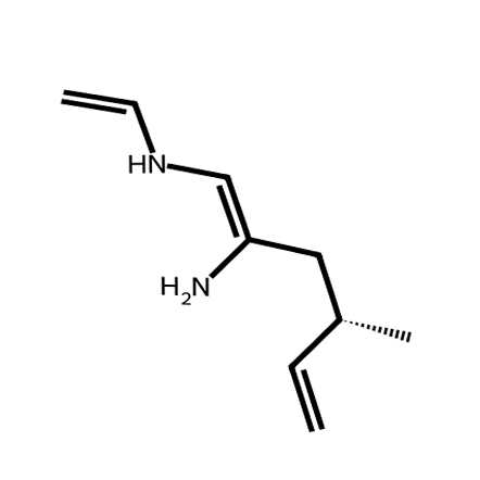 C=CN/C=C(\N)C[C@H](C)C=C